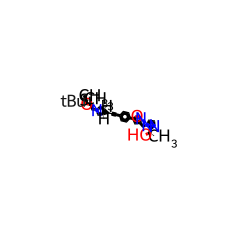 C[C@H](O)c1nccn1Cc1cc(-c2ccc(C#C[C@H]3[C@H]4CN(CCO[Si](C)(C)C(C)(C)C)C[C@@H]34)cc2)on1